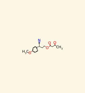 COc1ccc(C(C#N)CCOC(=O)CC(C)=O)cc1